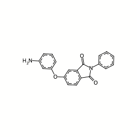 Nc1cccc(Oc2ccc3c(c2)C(=O)N(c2ccccc2)C3=O)c1